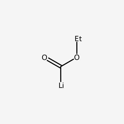 [Li][C](=O)OCC